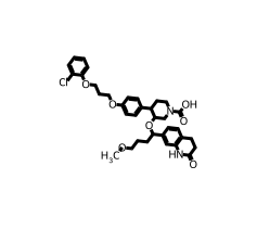 COCCCC(OC1CN(C(=O)O)CCC1c1ccc(OCCCOc2ccccc2Cl)cc1)c1ccc2c(c1)NC(=O)CC2